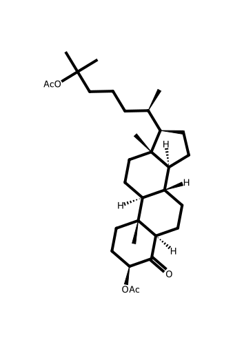 CC(=O)O[C@H]1CC[C@@]2(C)[C@@H](CC[C@@H]3[C@@H]2CC[C@]2(C)[C@@H]([C@H](C)CCCC(C)(C)OC(C)=O)CC[C@@H]32)C1=O